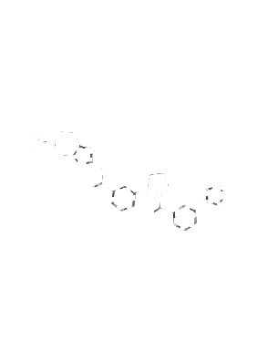 CN(C)[C@H]1CCc2nc(NC(=O)c3cccc([C@H]4CCCN4C(=O)c4cccc(-c5cn[nH]c5)c4)c3)sc2C1